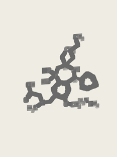 CCCC[C@]1(CC)CS(O)(O)c2cc(CN(C)CC(=O)O)c(OC)cc2[C@@H](c2ccccc2)N1.N.N